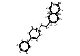 C1=C(c2ccccc2)CCN(CCc2ccc3ccncc3c2)C1